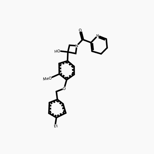 CCc1ccc(COc2ccc(C3(O)CN(C(=O)C4=CCCC=N4)C3)cc2OC)cc1